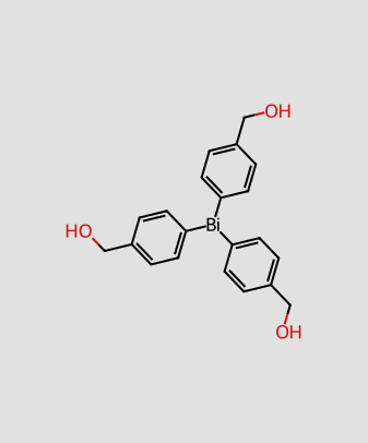 OCc1cc[c]([Bi]([c]2ccc(CO)cc2)[c]2ccc(CO)cc2)cc1